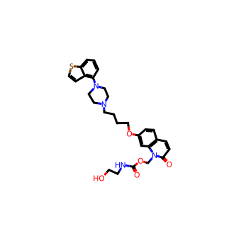 O=C(NCCO)OCn1c(=O)ccc2ccc(OCCCCN3CCN(c4cccc5sccc45)CC3)cc21